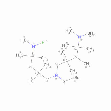 BN(F)C(C)(C)CC(C)(C)CN(CC(C)(C)C)CC(C)(C)C(C)C(C)(C)N(B)C